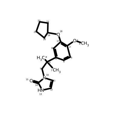 COc1ccc(C(C)(C)Cn2cc[nH]c2=O)cc1OC1CCCC1